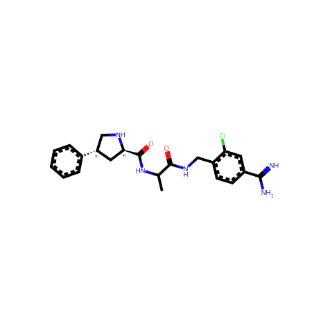 CC(NC(=O)[C@H]1C[C@H](c2ccccc2)CN1)C(=O)NCc1ccc(C(=N)N)cc1Cl